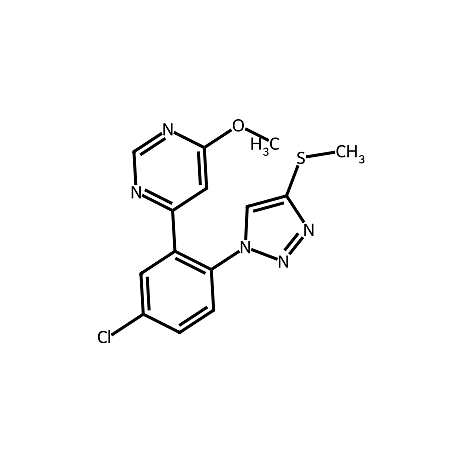 COc1cc(-c2cc(Cl)ccc2-n2cc(SC)nn2)ncn1